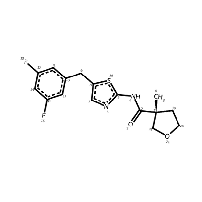 C[C@@]1(C(=O)Nc2ncc(Cc3cc(F)cc(F)c3)s2)CCOC1